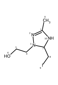 CC1=NN(CCO)C(CI)N1